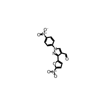 O=Cc1cn(-c2ccc([N+](=O)[O-])cc2)nc1-c1ccc([N+](=O)[O-])o1